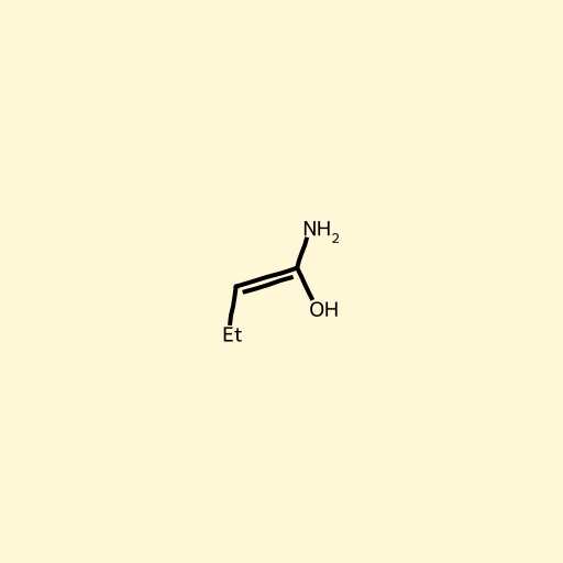 CCC=C(N)O